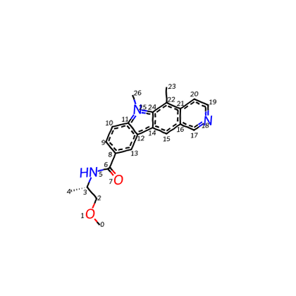 COC[C@H](C)NC(=O)c1ccc2c(c1)c1cc3cnccc3c(C)c1n2C